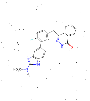 CN(C(=O)O)c1nc2cc(-c3cc(Cc4n[nH]c(=O)c5ccccc45)ccc3F)ccc2[nH]1